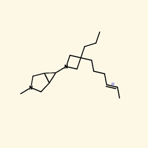 C/C=C/CCCC1(CCC)CN(C2C3CN(C)CC32)C1